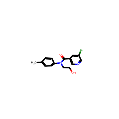 Cc1ccc(N(CCO)C(=O)c2cncc(Br)c2)cc1